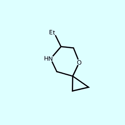 CCC1COC2(CC2)CN1